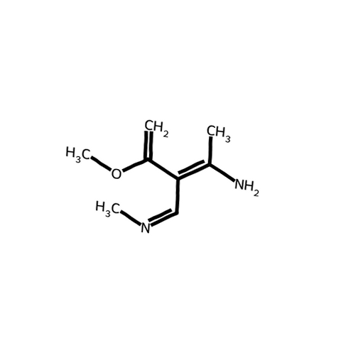 C=C(OC)C(/C=N\C)=C(\C)N